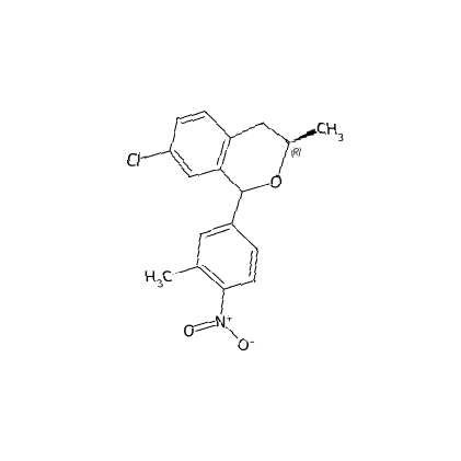 Cc1cc(C2O[C@H](C)Cc3ccc(Cl)cc32)ccc1[N+](=O)[O-]